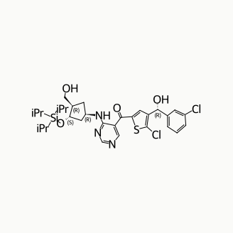 CC(C)[Si](O[C@H]1C[C@H](Nc2ncncc2C(=O)c2cc([C@H](O)c3cccc(Cl)c3)c(Cl)s2)C[C@@H]1CO)(C(C)C)C(C)C